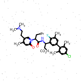 Cc1cc(=O)n(C(CC(C)C)C(=O)NC(CC(=O)O)c2cc(-c3c(C)cc(Cl)cc3C)cc(C)c2F)cc1CCN(C)C